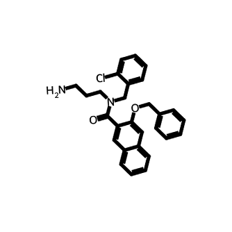 NCCCN(Cc1ccccc1Cl)C(=O)c1cc2ccccc2cc1OCc1ccccc1